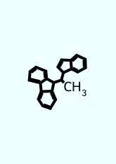 CC(C1C=Cc2ccccc21)C1c2ccccc2-c2ccccc21